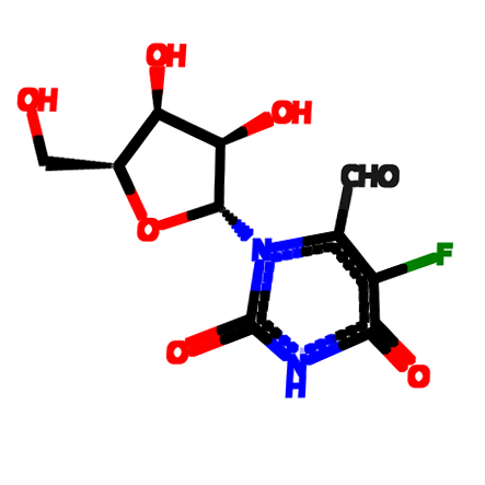 O=Cc1c(F)c(=O)[nH]c(=O)n1[C@@H]1O[C@H](CO)[C@@H](O)[C@H]1O